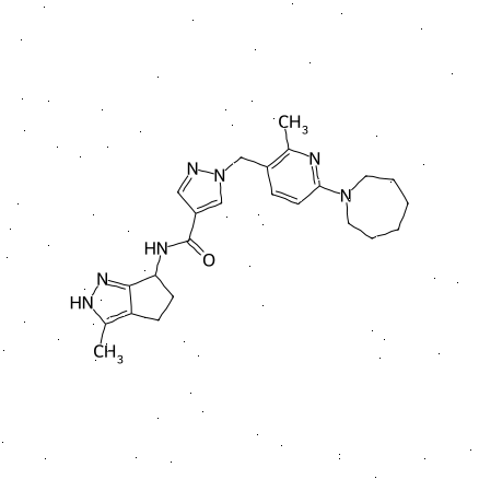 Cc1nc(N2CCCCCC2)ccc1Cn1cc(C(=O)NC2CCc3c2n[nH]c3C)cn1